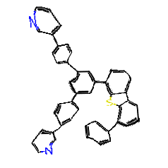 c1ccc(-c2cccc3c2sc2c(-c4cc(-c5ccc(-c6cccnc6)cc5)cc(-c5ccc(-c6cccnc6)cc5)c4)cccc23)cc1